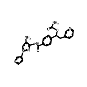 NC(=O)OC(Cc1cccnc1)c1ccc(C(=O)Nc2nn(-c3ccsc3)cc2N)cc1